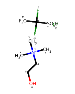 C[N+](C)(C)CCO.O=S(=O)(O)C(F)(F)C(F)(F)F.[Cl-]